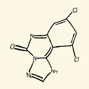 O=c1nc2cc(Cl)cc(Cl)c2c2[nH]cnn12